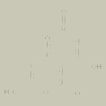 Cc1cc2oc(=O)cc(O)c2c(=O)o1